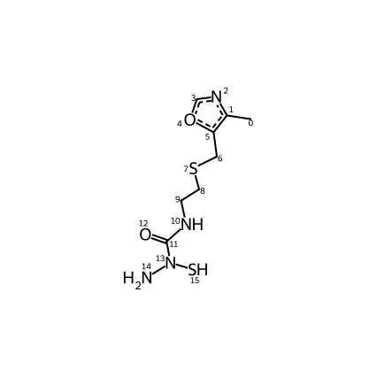 Cc1ncoc1CSCCNC(=O)N(N)S